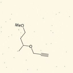 C#CCOC([CH2])CCOC